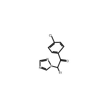 CCC(C(=O)c1ccc(Cl)cc1)n1cncn1